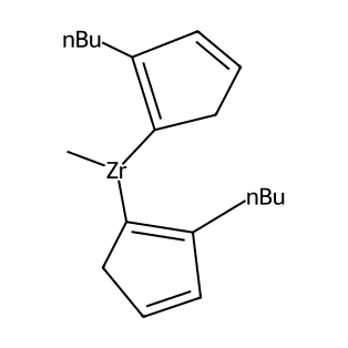 CCCCC1=[C]([Zr]([CH3])[C]2=C(CCCC)C=CC2)CC=C1